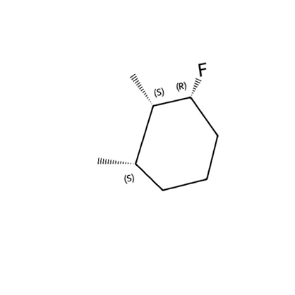 C[C@@H]1[C@H](F)CCC[C@@H]1C